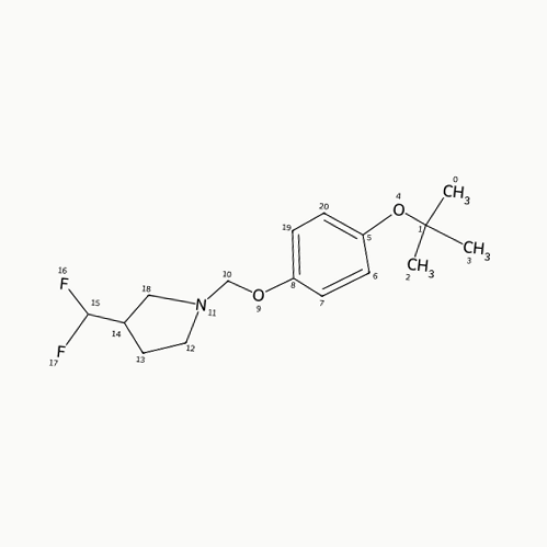 CC(C)(C)Oc1ccc(OCN2CCC(C(F)F)C2)cc1